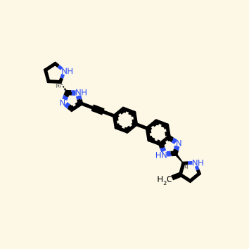 C=C1CCN[C@@H]1c1nc2ccc(-c3ccc(C#Cc4cnc([C@@H]5CCCN5)[nH]4)cc3)cc2[nH]1